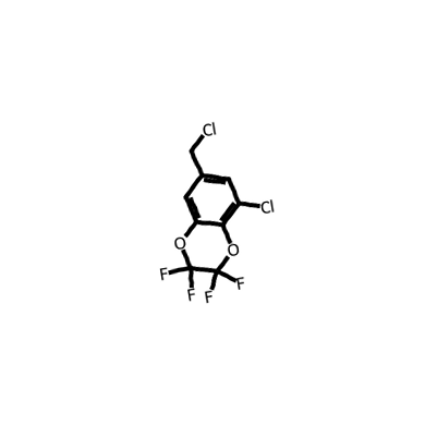 FC1(F)Oc2cc(CCl)cc(Cl)c2OC1(F)F